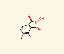 Cc1ccc2c(c1C)C(=O)N(O)C2=O